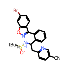 CC(C)(C)[S@+]([O-])NC(Cc1ccc(C#N)cn1)c1ccccc1-c1noc2cc(Br)ccc12